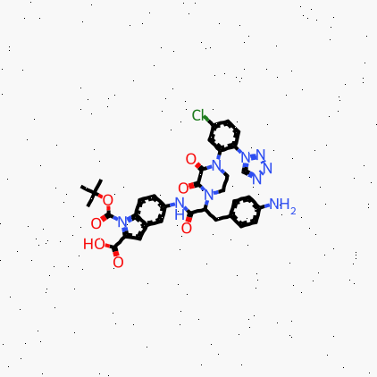 CC(C)(C)OC(=O)n1c(C(=O)O)cc2cc(NC(=O)C(Cc3ccc(N)cc3)N3CCN(c4cc(Cl)ccc4-n4cnnn4)C(=O)C3=O)ccc21